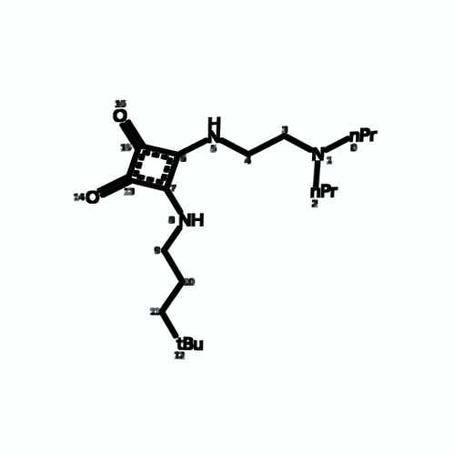 CCCN(CCC)CCNc1c(NCCCC(C)(C)C)c(=O)c1=O